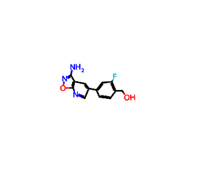 Nc1noc2ncc(-c3ccc(CO)c(F)c3)cc12